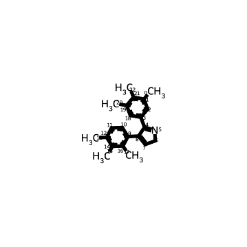 Cc1cc(C2=NCC=C2c2ccc(C)c(C)c2C)cc(C)c1C